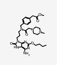 CCCCOc1nc(N)c2[nH]c(=O)n(CCCN(Cc3ccc(CC(=O)OC)cc3)C(=O)CN3CCN(C)CC3)c2n1